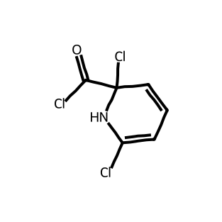 O=C(Cl)C1(Cl)C=CC=C(Cl)N1